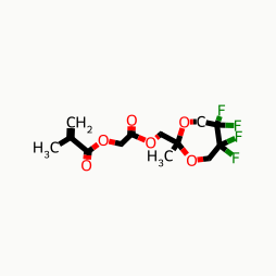 C=C(C)C(=O)OCC(=O)OCC1(C)OCC(F)(F)C(F)(F)CO1